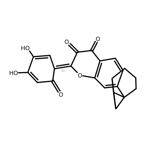 O=C1C=C(O)C(O)=C/C1=C1/Oc2cc(C34CCCC5C3C54)ccc2C(=O)C1=O